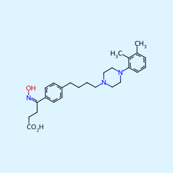 Cc1cccc(N2CCN(CCCCc3ccc(/C(CCC(=O)O)=N\O)cc3)CC2)c1C